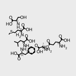 CC(C)C[C@H](N)C(=O)O.CSCC[C@H](N)C(=O)O.C[C@H](N)C(=O)O.N[C@@H](CCC(=O)O)C(=O)O.N[C@@H](CO)C(=O)O.N[C@@H](Cc1ccccc1)C(=O)O